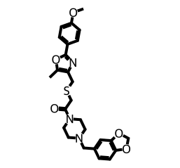 COc1ccc(-c2nc(CSCC(=O)N3CCN(Cc4ccc5c(c4)OCO5)CC3)c(C)o2)cc1